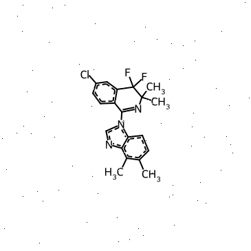 Cc1ccc2c(ncn2C2=NC(C)(C)C(F)(F)c3cc(Cl)ccc32)c1C